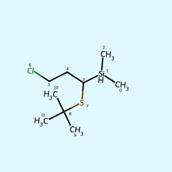 C[SiH](C)C(CCCl)SC(C)(C)C